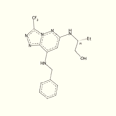 CC[C@H](CO)Nc1cc(NCc2ccccc2)c2nnc(C(F)(F)F)n2n1